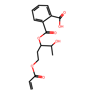 C=CC(=O)OCCC(OC(=O)c1ccccc1C(=O)O)C(C)O